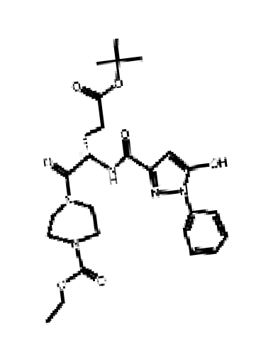 CCOC(=O)N1CCN(C(=O)[C@H](CCC(=O)OC(C)(C)C)NC(=O)c2cc(O)n(-c3ccccc3)n2)CC1